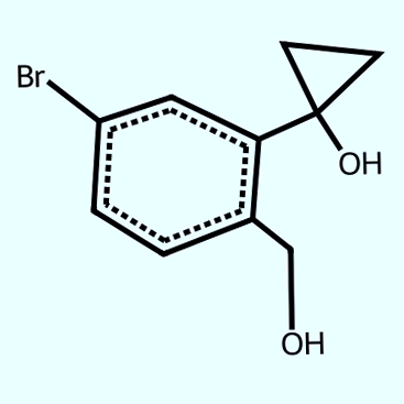 OCc1ccc(Br)cc1C1(O)CC1